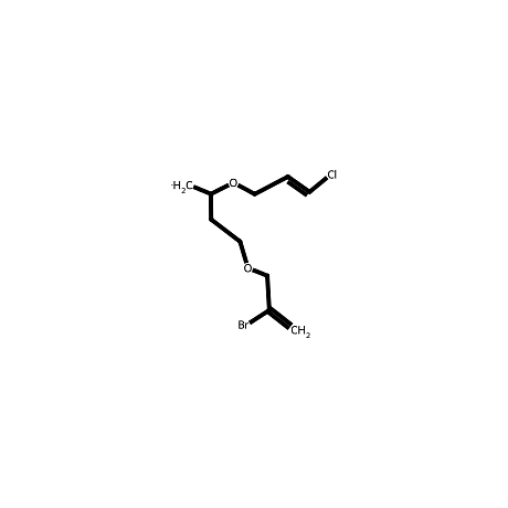 [CH2]C(CCOCC(=C)Br)OCC=CCl